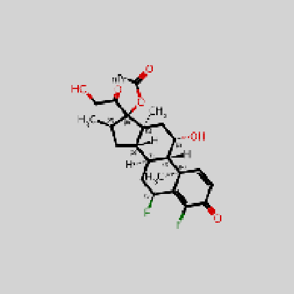 CCCC(=O)O[C@]1(C(=O)CO)[C@H](C)C[C@H]2[C@@H]3C[C@H](F)C4=C(F)C(=O)C=C[C@]4(C)[C@H]3[C@@H](O)C[C@@]21C